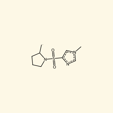 [CH2]C1CCCN1S(=O)(=O)c1cn(C)cn1